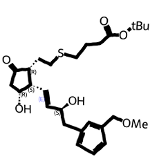 COCc1cccc(C[C@H](O)/C=C/[C@@H]2[C@H](O)CC(=O)[C@@H]2CCSCCCC(=O)OC(C)(C)C)c1